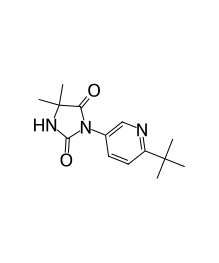 CC1(C)NC(=O)N(c2ccc(C(C)(C)C)nc2)C1=O